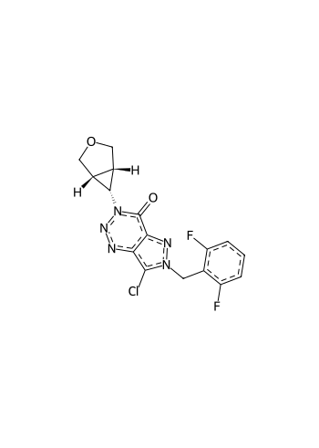 O=c1c2nn(Cc3c(F)cccc3F)c(Cl)c2nnn1[C@@H]1[C@@H]2COC[C@@H]21